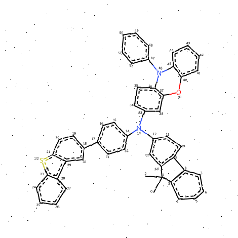 CC1(C)c2ccccc2-c2ccc(N(c3ccc(-c4ccc5sc6ccccc6c5c4)cc3)c3ccc4c(c3)Oc3ccccc3N4c3ccccc3)cc21